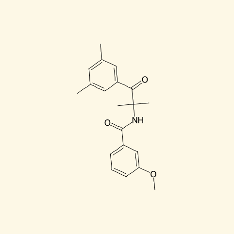 COc1cccc(C(=O)NC(C)(C)C(=O)c2cc(C)cc(C)c2)c1